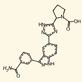 NC(=O)c1cccc(-c2n[nH]c3ccc(-c4n[nH]c(C5CCCN5C(=O)O)n4)cc23)c1